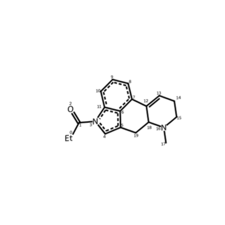 CCC(=O)n1cc2c3c(cccc31)C1=CCCN(C)C1C2